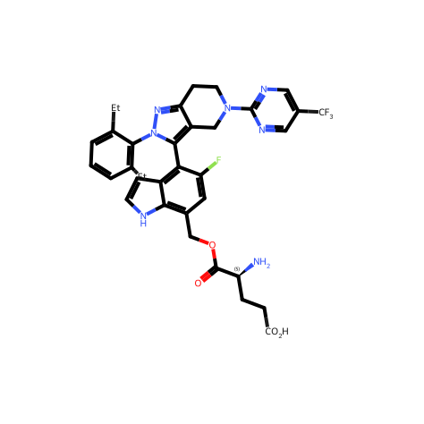 CCc1cccc(CC)c1-n1nc2c(c1-c1c(F)cc(COC(=O)[C@@H](N)CCC(=O)O)c3[nH]ccc13)CN(c1ncc(C(F)(F)F)cn1)CC2